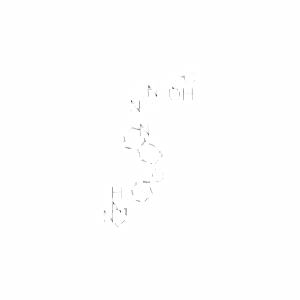 O=C[C@@H](O)CN1CCN(Cc2ccc3cc(Oc4ccc(-c5ccn[nH]5)cc4)ccc3n2)CC1